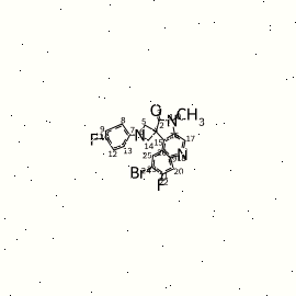 CN1C(=O)C2(CN(c3ccc(F)cc3)C2)c2c1cnc1cc(F)c(Br)cc21